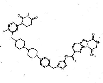 C[C@@H]1CNC(=O)c2cc3ccc(C(=O)Nc4cnn(Cc5ccc(N6CCC(N7CCN(Cc8cc(N9CCC(=O)NC9=O)ncc8F)CC7)CC6)cc5)c4)nc3n21